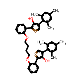 Cc1cc(C)c(-c2csc(-c3ccccc3OCCCCOc3ccccc3-c3scc(-c4c(C)cc(C)cc4C)c3O)c2O)c(C)c1